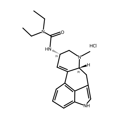 CCN(CC)C(=O)N[C@H]1C=C2c3cccc4[nH]cc(c34)C[C@H]2N(C)C1.Cl